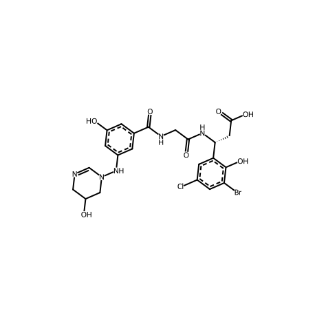 O=C(O)C[C@@H](NC(=O)CNC(=O)c1cc(O)cc(NN2C=NCC(O)C2)c1)c1cc(Cl)cc(Br)c1O